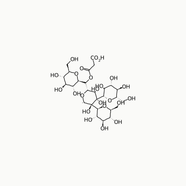 O=C(O)CC(=O)OC([C@H]1O[CH][C@@](O)([C@H]2O[C@@H](CO)[C@H](O)[C@@H](O)[C@@H]2O)[C@](O)([C@H]2O[C@@H](CO)[C@H](O)[C@@H](O)[C@@H]2O)[C@@H]1O)[C@@H]1O[C@H](CO)[C@@H](O)[C@H](O)[C@H]1O